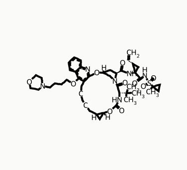 C=C[C@@H]1C[C@]1(NC(=O)[C@@H]1C[C@@H]2CN1C(=O)[C@H](C(C)(C)C)NC(=O)O[C@@H]1C[C@H]1CCCCCc1c(nc3ccccc3c1OCCCCN1CCOCC1)O2)C(=O)NS(=O)(=O)C1(C)CC1